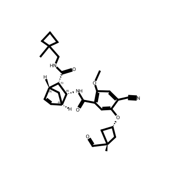 COc1cc(C#N)c(O[C@H]2C[C@@](C)(C=O)C2)cc1C(=O)N[C@H]1[C@@H](C(=O)NCC2(C)CCC2)[C@H]2C=C[C@H]1C2